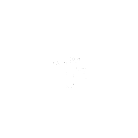 CCCCN(Cc1ccccc1Br)C(=O)O